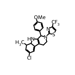 COc1ccc(C2C3=C(CCN2c2nc(C(F)(F)F)cs2)C2=CC(Cl)=CC(C)C2N3)cc1